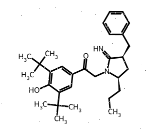 CCC[C@@H]1C[C@H](Cc2ccccc2)C(=N)N1CC(=O)c1cc(C(C)(C)C)c(O)c(C(C)(C)C)c1